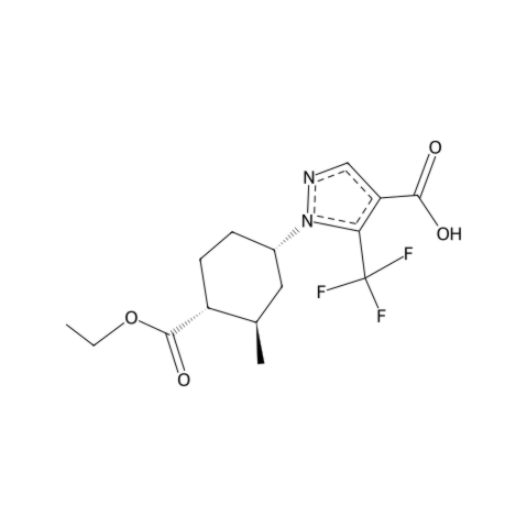 CCOC(=O)[C@@H]1CC[C@H](n2ncc(C(=O)O)c2C(F)(F)F)C[C@H]1C